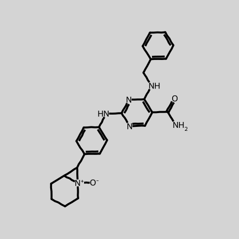 NC(=O)c1cnc(Nc2ccc(C3C4CCCC[N+]43[O-])cc2)nc1NCc1ccccc1